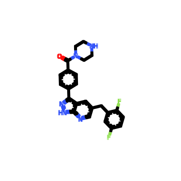 O=C(c1ccc(-c2n[nH]c3ncc(Cc4cc(F)ccc4F)cc23)cc1)N1CCNCC1